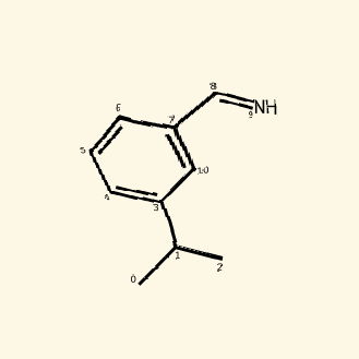 CC(C)c1cccc(C=N)c1